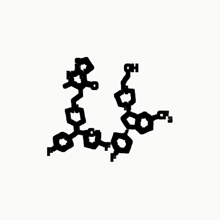 Cc1nc2sccn2c(=O)c1CCN1CCC(=C(c2ccc(F)cc2)c2ccc(F)cc2)CC1.OCCN1CCN([C@@H]2C[C@@H](c3ccc(F)cc3)c3ccc(C(F)(F)F)cc32)CC1